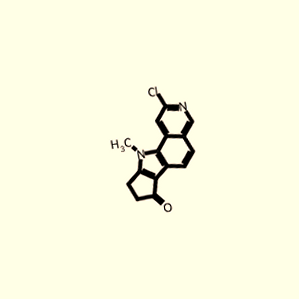 Cn1c2c(c3ccc4cnc(Cl)cc4c31)C(=O)CC2